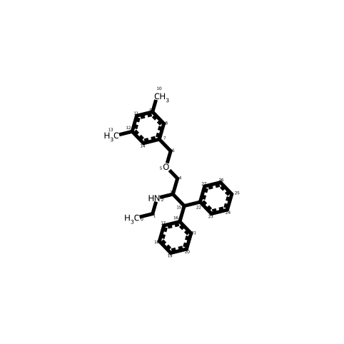 CCNC(COCc1cc(C)cc(C)c1)C(c1ccccc1)c1ccccc1